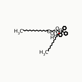 CCCCCCCCCCCCCCCCOCC(O)CNC(=O)C(CCCCCCCCCCCCCC)OC(c1ccccc1)(c1ccccc1)c1ccccc1